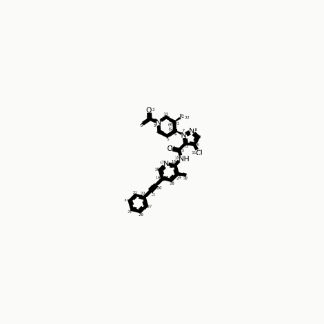 CC(=O)N1CC[C@H](n2ncc(Cl)c2C(=O)Nc2ncc(C#Cc3ccccc3)cc2C)[C@H](F)C1